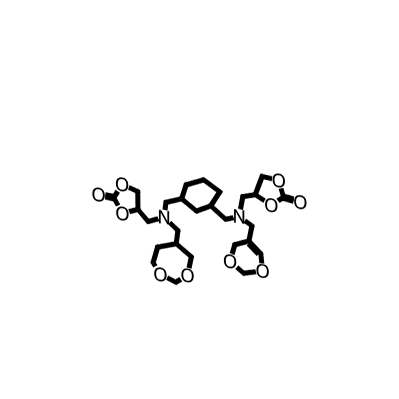 O=C1OCC(CN(CC2=COCOC2)CC2CCCC(CN(CC3CCOCOC3)CC3COC(=O)O3)C2)O1